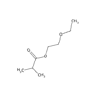 CCOCCOC(=O)[C](C)C